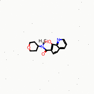 CN(C(=O)c1ccc2cccnc2c1O)C1CCOCC1